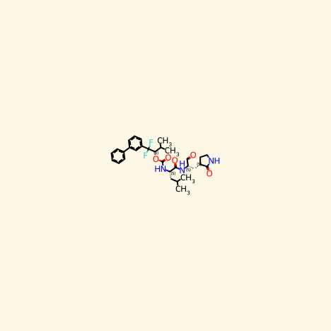 CC(C)C[C@H](NC(=O)O[C@@H](C(C)C)C(F)(F)c1cccc(-c2ccccc2)c1)C(=O)N[C@H](C=O)C[C@@H]1CCNC1=O